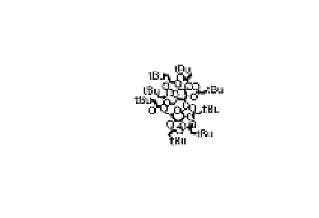 CC(C)(C)CC(=O)OC[C@H]1O[C@@H](O[C@H]2[C@H](OC(=O)CC(C)(C)C)[C@@H](OC(=O)CC(C)(C)C)[C@H](OC(=O)CC(C)(C)C)O[C@@H]2COC(=O)CC(C)(C)C)[C@H](OC(=O)CC(C)(C)C)[C@@H](OC(=O)CC(C)(C)C)[C@H]1OC(=O)CC(C)(C)C